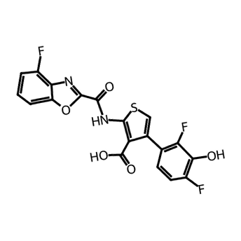 O=C(Nc1scc(-c2ccc(F)c(O)c2F)c1C(=O)O)c1nc2c(F)cccc2o1